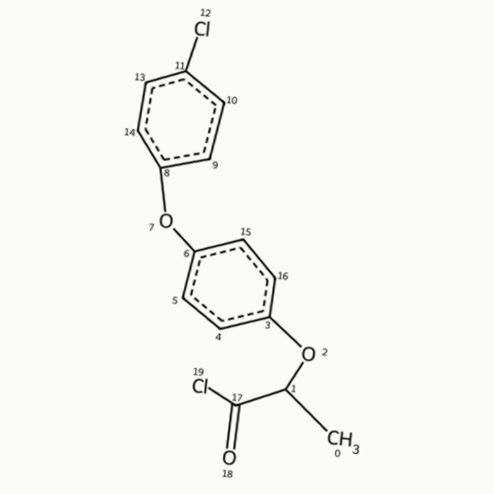 CC(Oc1ccc(Oc2ccc(Cl)cc2)cc1)C(=O)Cl